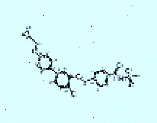 CS(=O)(=O)NC(=O)c1ccc(COc2cc(-c3ccc(OCC4CC4)nc3)ccc2Cl)cc1